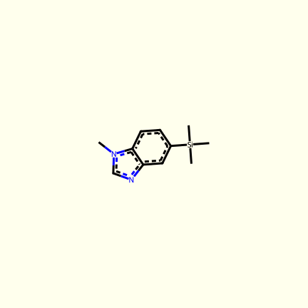 Cn1cnc2cc([Si](C)(C)C)ccc21